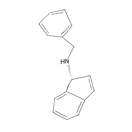 C1=C[C@@H](NCc2ccccc2)c2ccccc21